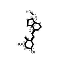 C=C1C(=CC=C2CCC[C@]3(C)[C@@H](CO)CC[C@@H]23)C[C@@H](O)C[C@@H]1O